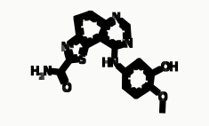 COc1ccc(Nc2ncnc3ccc4nc(C(N)=O)sc4c23)cc1O